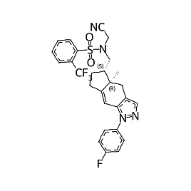 C[C@]12Cc3cnn(-c4ccc(F)cc4)c3C=C1CC[C@@H]2CN(CC#N)S(=O)(=O)c1ccccc1C(F)(F)F